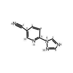 N#Cc1ccc(-n2cncn2)nc1